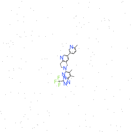 Cc1ccc(-c2cnc3c(c2)CN(c2nn4c(C(F)(F)F)nnc4c(C)c2C)CC3)cn1